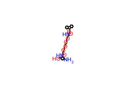 Nc1ccc(CO)c(NC(=O)CCOCCOCCOCCOCCNC(=O)OCC2c3ccccc3-c3ccccc32)c1